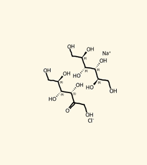 O=C(CO)[C@@H](O)[C@H](O)[C@H](O)CO.OC[C@@H](O)[C@@H](O)[C@H](O)[C@H](O)CO.[Cl-].[Na+]